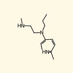 C/C=C(\C=C/C(C)=N)N(CCC)CCNC